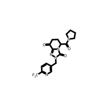 O=C1CCC(C(=O)N2CCCC2)n2c1nn(Cc1ccc(C(F)(F)F)nc1)c2=O